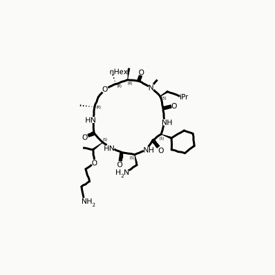 CCCCCC[C@H]1OC[C@@H](C)NC(=O)[C@H](C(C)OCCCN)NC(=O)[C@H](CN)NC(=O)[C@H](C2CCCCC2)NC(=O)[C@H](CC(C)C)N(C)C(=O)[C@@H]1C